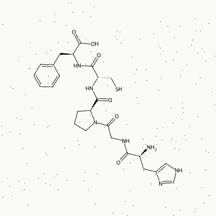 N[C@@H](Cc1c[nH]cn1)C(=O)NCC(=O)N1CCC[C@H]1C(=O)N[C@@H](CS)C(=O)N[C@@H](Cc1ccccc1)C(=O)O